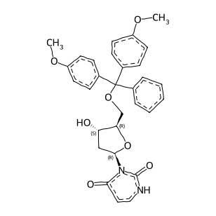 COc1ccc(C(OC[C@H]2O[C@@H](n3c(=O)cc[nH]c3=O)C[C@@H]2O)(c2ccccc2)c2ccc(OC)cc2)cc1